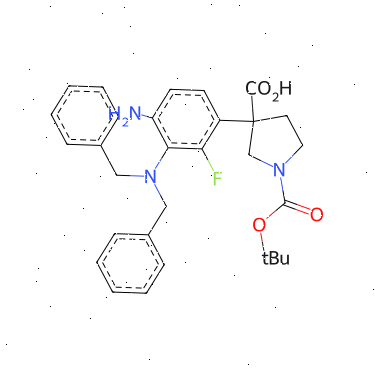 CC(C)(C)OC(=O)N1CCC(C(=O)O)(c2ccc(N)c(N(Cc3ccccc3)Cc3ccccc3)c2F)C1